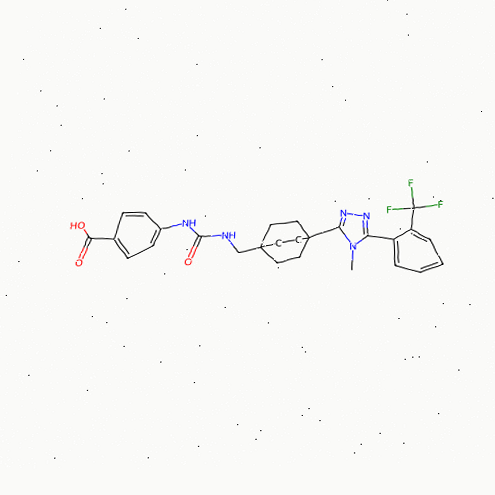 Cn1c(-c2ccccc2C(F)(F)F)nnc1C12CCC(CNC(=O)Nc3ccc(C(=O)O)cc3)(CC1)CC2